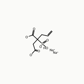 C=CCC(CC(=O)[O-])(C(=O)[O-])S(=O)(=O)O.[Na+].[Na+]